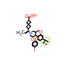 CC=C(C1CC2(CC(C(=O)O)C2)C1)N1CCC2(S(=O)(=O)c3ccc(I)cc3)c3ccc(C(F)(C(F)(F)F)C(F)(F)F)cc3OCC2C1